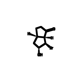 O=C1CC[C@@H]2C[C@@H](O)[C@H](Br)[C@H]12